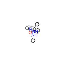 CN1C2CCC(C2)CC1CC(CNC(=O)NCc1ccccc1)(c1ccccc1)c1ccccc1